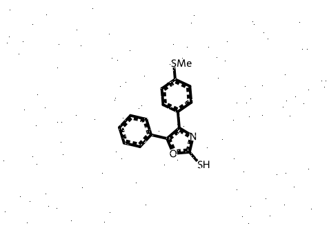 CSc1ccc(-c2nc(S)oc2-c2ccccc2)cc1